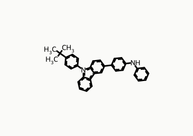 CC(C)(C)c1ccc(-n2c3ccccc3c3cc(-c4ccc(Nc5ccccc5)cc4)ccc32)cc1